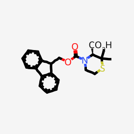 CC1(C)SCCN(C(=O)OCC2c3ccccc3-c3ccccc32)[C@H]1C(=O)O